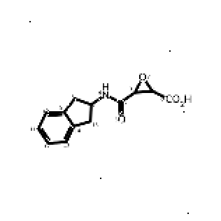 O=C(O)C1OC1C(=O)NC1Cc2ccccc2C1